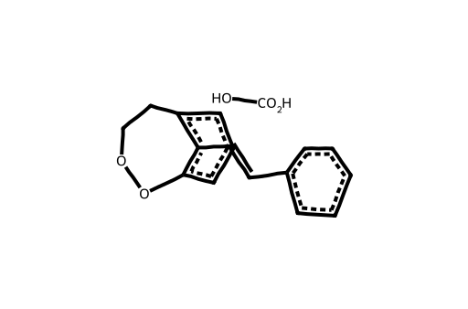 C(=Cc1c2cccc1OOCC2)c1ccccc1.O=C(O)O